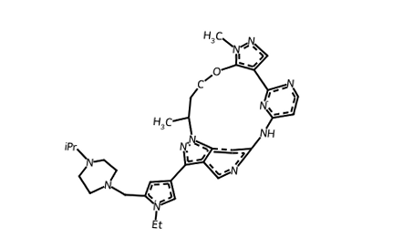 CCn1cc(-c2nn3c4cc(ncc24)Nc2ccnc(n2)-c2cnn(C)c2OCCC3C)cc1CN1CCN(C(C)C)CC1